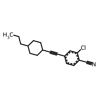 CCCC1CCC(C#Cc2ccc(C#N)c(Cl)c2)CC1